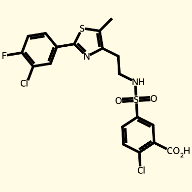 Cc1sc(-c2ccc(F)c(Cl)c2)nc1CCNS(=O)(=O)c1ccc(Cl)c(C(=O)O)c1